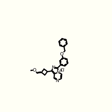 COC=C1CC(C2=C3C=NC=C[N+]3(Cl)C(c3cccc(OCc4ccccc4)c3)=N2)C1